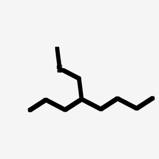 CCCCC(CCC)CSC